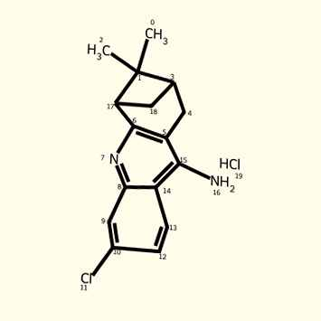 CC1(C)C2Cc3c(nc4cc(Cl)ccc4c3N)C1C2.Cl